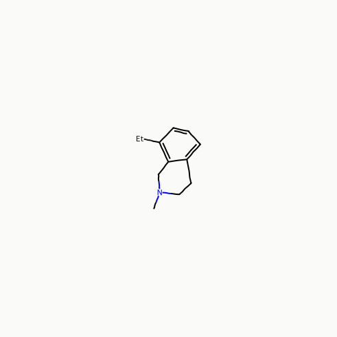 CCc1cccc2c1CN(C)CC2